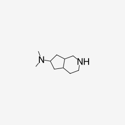 CN(C)C1CC2CCNCC2C1